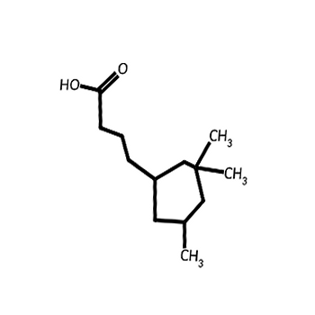 CC1CC(CCCC(=O)O)CC(C)(C)C1